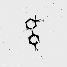 CCc1ccc(N2C[C@@](C)(O)CC[C@H]2C)cn1